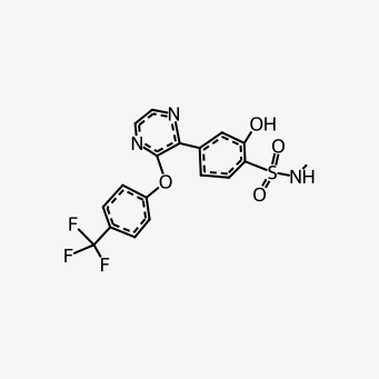 CNS(=O)(=O)c1ccc(-c2nccnc2Oc2ccc(C(F)(F)F)cc2)cc1O